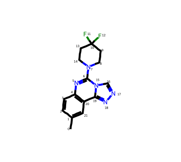 Cc1ccc2nc(N3CCC(F)(F)CC3)n3cnnc3c2c1